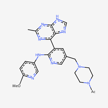 COc1ccc(Nc2ncc(CN3CCN(C(C)=O)CC3)cc2-c2nc(C)nc3[nH]cnc23)cn1